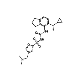 C[C@@H](c1ccc2c(c1NC(=O)NS(=O)(=O)c1cc(CN(C)C)co1)CCC2)C1CC1